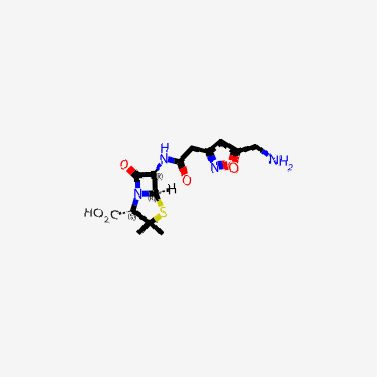 CC1(C)S[C@@H]2[C@H](NC(=O)Cc3cc(CN)on3)C(=O)N2[C@H]1C(=O)O